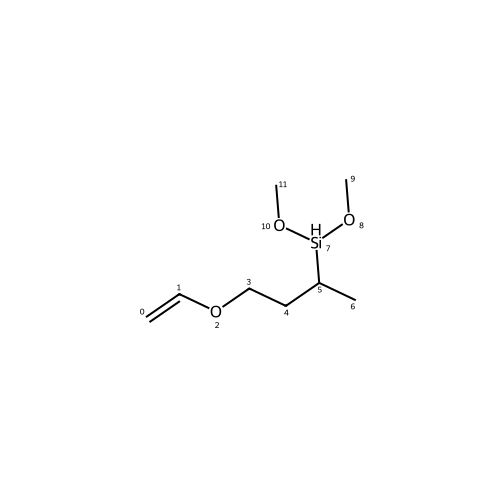 C=COCCC(C)[SiH](OC)OC